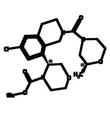 C[C@H]1CN(C(=O)N2CCc3cc(Cl)cc([C@@H]4COCCN4C(=O)OC(C)(C)C)c3C2)CCO1